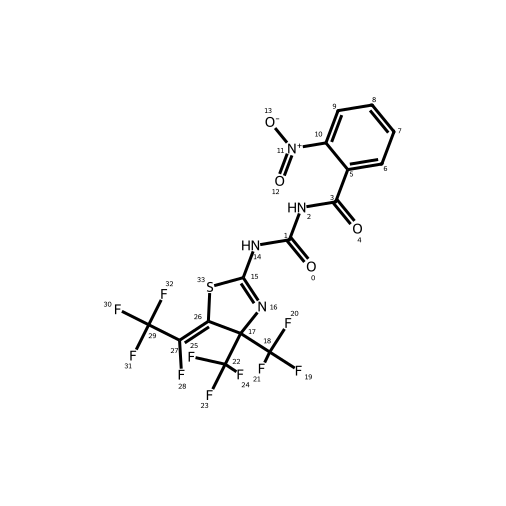 O=C(NC(=O)c1ccccc1[N+](=O)[O-])NC1=NC(C(F)(F)F)(C(F)(F)F)C(=C(F)C(F)(F)F)S1